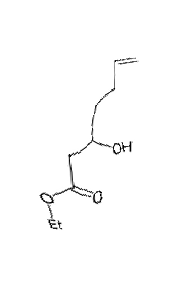 C=CCCC(O)CC(=O)OCC